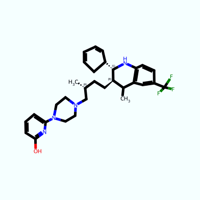 CC1c2cc(C(F)(F)F)ccc2N[C@@H](C2C=CC=CC2)[C@@H]1CC[C@@H](C)CN1CCN(c2cccc(O)n2)CC1